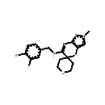 Cn1cc2c(n1)N=C(NCc1ccc(Cl)c(Cl)c1)C1(CCOCC1)N2